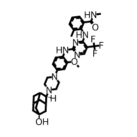 CNC(=O)c1cccc(C)c1Nc1nc(Nc2ccc(N3CCN([C@H]4C5CC6CC4C[C@@](O)(C6)C5)CC3)cc2OC)ncc1C(F)(F)F